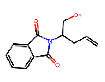 C=CCC(CO)N1C(=O)c2ccccc2C1=O